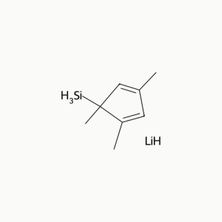 CC1=CC(C)([SiH3])C(C)=C1.[LiH]